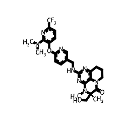 CN(C)c1nc(C(F)(F)F)ccc1Oc1ccc(CNc2nc3c4c(n2)N(C)[C@@](C)(CO)C(=O)N4CCC3)cn1